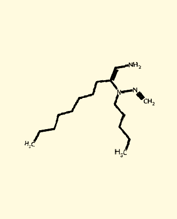 C=NN(CCCCC)/C(=C\N)CCCCCCCC